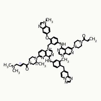 C=CC(=O)N1CCN(c2cc3c(Nc4ccc(Oc5ccc6c(c5)ncn6C)c(C[n+]5cnc(Nc6ccc(Cc7ccn8ncnc8c7)c(C)c6)c6nc(N7CCN(C(=O)/C=C/CN(C)C)C[C@@H]7C)ccc65)c4)ncnc3cn2)CC1